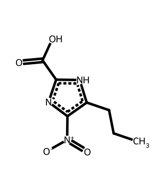 CCCc1[nH]c(C(=O)O)nc1[N+](=O)[O-]